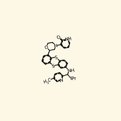 Cc1ccc(C(Nc2ccc3c(c2)Sc2cccc(C4CN(c5ccc[nH]c5=O)CCO4)c2S3)C(C)C)nc1